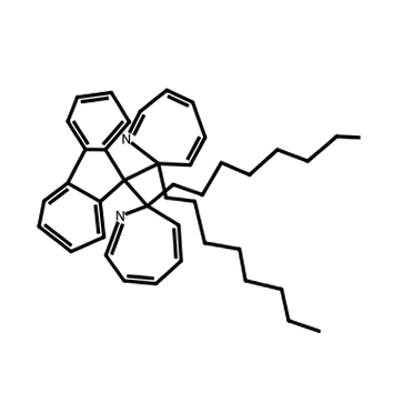 CCCCCCCCC1(C2(C3(CCCCCCCC)C=CC=CC=N3)c3ccccc3-c3ccccc32)C=CC=CC=N1